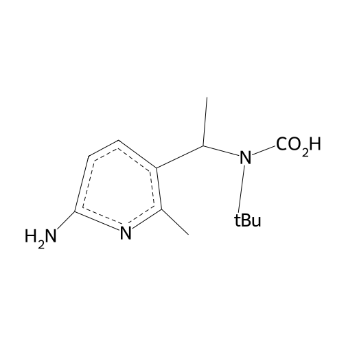 Cc1nc(N)ccc1C(C)N(C(=O)O)C(C)(C)C